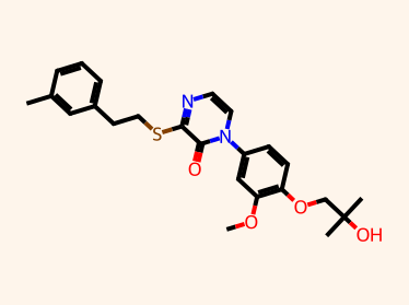 COc1cc(-n2ccnc(SCCc3cccc(C)c3)c2=O)ccc1OCC(C)(C)O